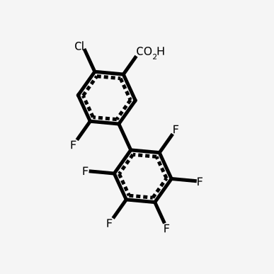 O=C(O)c1cc(-c2c(F)c(F)c(F)c(F)c2F)c(F)cc1Cl